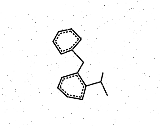 CC(C)c1ccccc1Cc1ccccc1